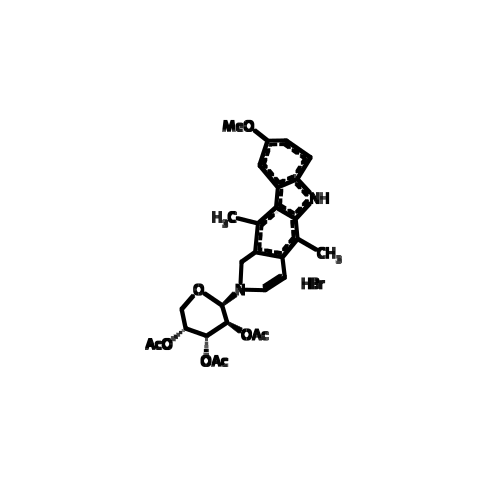 Br.COc1ccc2[nH]c3c(C)c4c(c(C)c3c2c1)CN([C@@H]1OC[C@@H](OC(C)=O)[C@@H](OC(C)=O)[C@@H]1OC(C)=O)C=C4